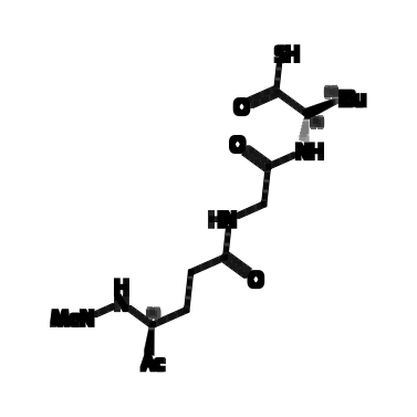 CC[C@H](C)[C@H](NC(=O)CNC(=O)CC[C@H](NNC)C(C)=O)C(=O)S